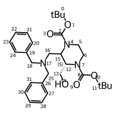 CC(C)(C)OC(=O)N1CCN(C(=O)OC(C)(C)C)[C@H](CO)C1CN(Cc1ccccc1)Cc1ccccc1